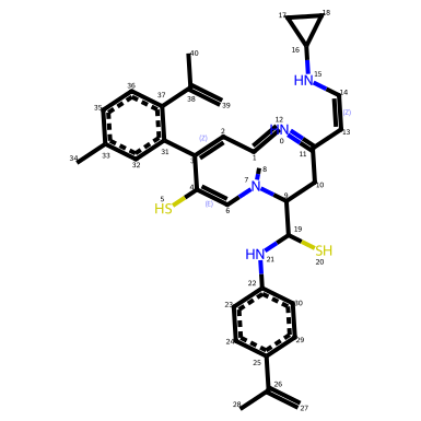 C=C/C=C(\C(S)=C/N(C)C(CC(=N)/C=C\NC1CC1)C(S)Nc1ccc(C(=C)C)cc1)c1cc(C)ccc1C(=C)C